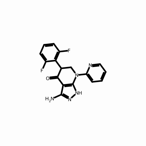 Nc1n[nH]c2c1C(=O)C(c1c(F)cccc1F)CN2c1ccccn1